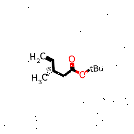 C=C[C@@H](C)CC(=O)OC(C)(C)C